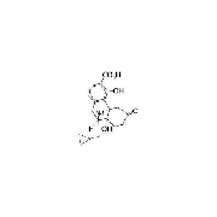 O=C1CC[C@@]2(O)[C@H]3Cc4ccc(C(=O)O)c(O)c4[C@@]2(CCN3CC2CC2)C1